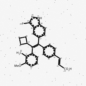 COc1nccc(C(=C(c2ccc(C=CC(=O)O)cc2)c2ccc3[nH]nc(F)c3c2)C2CCC2)c1C